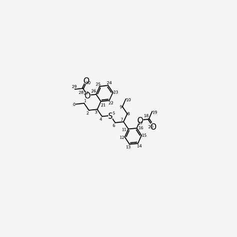 CCCC(CSCC(CCC)c1ccccc1OC(C)=O)c1ccccc1OC(C)=O